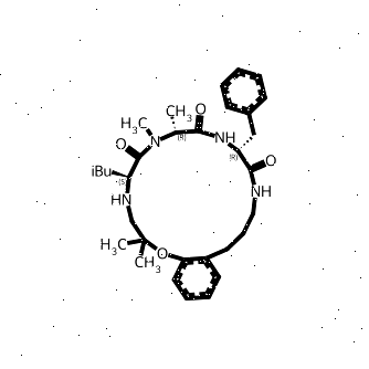 CCC(C)[C@@H]1NCC(C)(C)Oc2ccccc2CCCNC(=O)[C@@H](Cc2ccccc2)NC(=O)[C@@H](C)N(C)C1=O